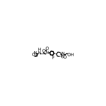 O=C(CO)N=[S@]1(=O)CC[C@@H](c2ccc(N3C[C@H](CNc4ccon4)OC3=O)cc2F)CC1